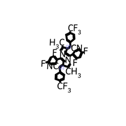 Cc1cn2c(-c3ccc(F)cc3F)c3/c(=C(\C#N)c4ccc(C(F)(F)F)cc4)c(C)cn3c(-c3ccc(F)cc3F)c2/c1=C(\C#N)c1ccc(C(F)(F)F)cc1